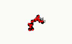 N/C(=C\C(=N/Cc1ccccc1)c1ccc(-c2cccc(-c3ccc4c(c3)C3(CCCCC3)c3cc5c(cc3-4)C3(CCCCC3)c3ccccc3-5)c2)cc1)c1ccc2c(c1)oc1ccccc12